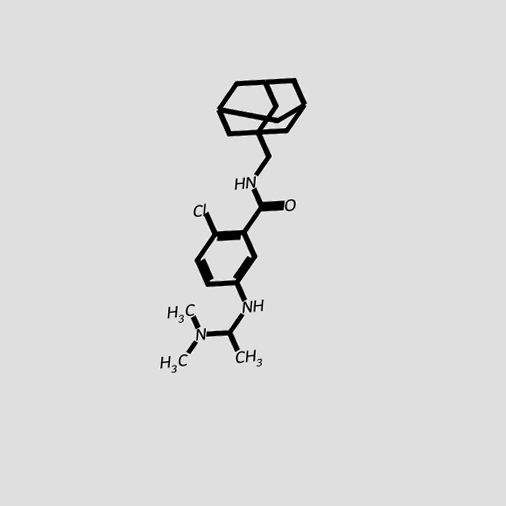 CC(Nc1ccc(Cl)c(C(=O)NCC23CC4CC(CC(C4)C2)C3)c1)N(C)C